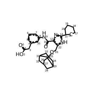 O=C(O)Cc1cccc(NC(=O)c2nc(C3CCCCC3)[nH]c2COC23CC4CC(CC(C4)C2)C3)c1